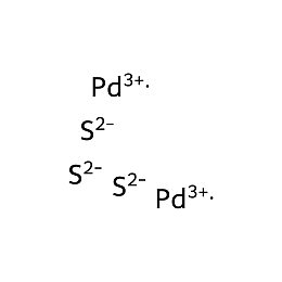 [Pd+3].[Pd+3].[S-2].[S-2].[S-2]